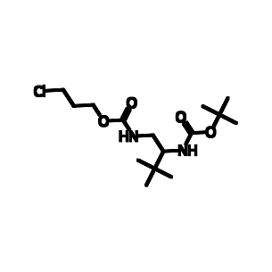 CC(C)(C)OC(=O)NC(CNC(=O)OCCCCl)C(C)(C)C